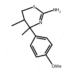 COc1ccc(C2(C)N=C(N)SCC2C)cc1